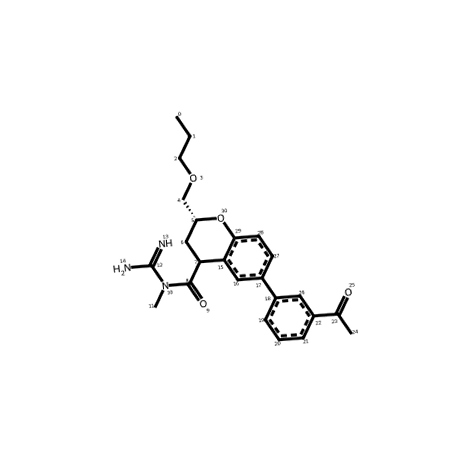 CCCOC[C@H]1CC(C(=O)N(C)C(=N)N)c2cc(-c3cccc(C(C)=O)c3)ccc2O1